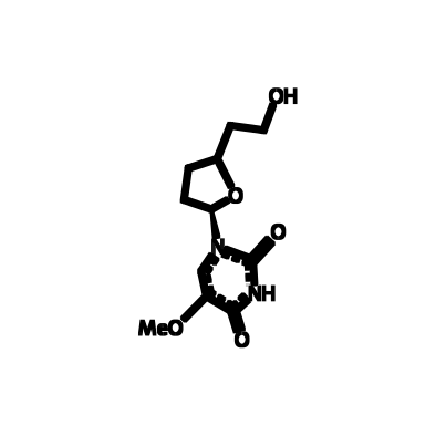 COc1cn([C@H]2CCC(CCO)O2)c(=O)[nH]c1=O